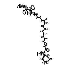 CNC(=O)C(=O)NCCCC/C=C\CCCCCCCOCC(=O)NC1CCOCC1